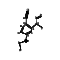 C=C[C](C)c1cc(OCC)ccc1C#N